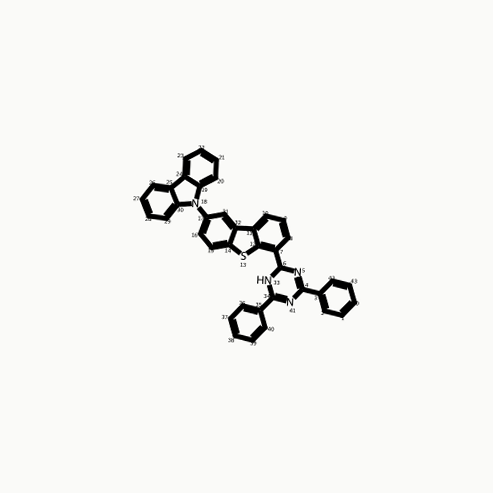 c1ccc(C2=NC(c3cccc4c3sc3ccc(-n5c6ccccc6c6ccccc65)cc34)NC(c3ccccc3)=N2)cc1